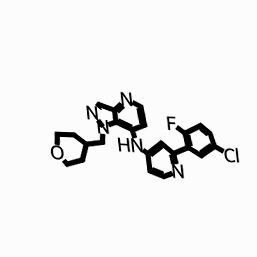 Fc1ccc(Cl)cc1-c1cc(Nc2ccnc3cnn(CC4CCOCC4)c23)ccn1